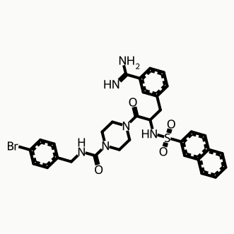 N=C(N)c1cccc(CC(NS(=O)(=O)c2ccc3ccccc3c2)C(=O)N2CCN(C(=O)NCc3ccc(Br)cc3)CC2)c1